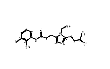 CCn1c(CCC(=O)Nc2cccc(Cl)c2C)nnc1CCC(C)C